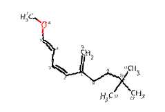 C=C(/C=C\C=C\OC)CCC(C)(C)C